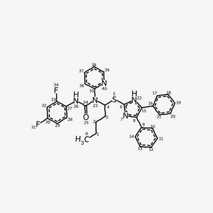 CCCCC(Sc1nc(-c2ccccc2)c(-c2ccccc2)[nH]1)N(C(=O)Nc1ccc(F)cc1F)c1ccccn1